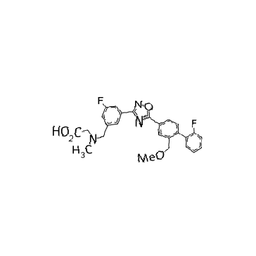 COCc1cc(-c2nc(-c3cc(F)cc(CN(C)CC(=O)O)c3)no2)ccc1-c1ccccc1F